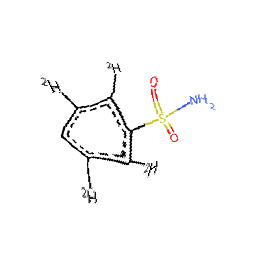 [2H]c1cc([2H])c([2H])c(S(N)(=O)=O)c1[2H]